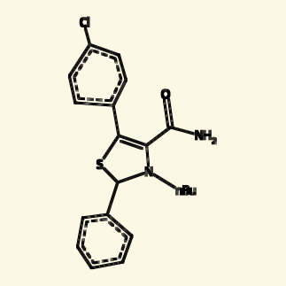 CCCCN1C(C(N)=O)=C(c2ccc(Cl)cc2)SC1c1ccccc1